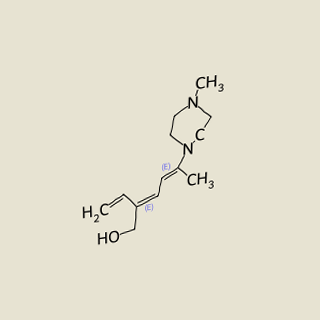 C=C/C(=C\C=C(/C)N1CCN(C)CC1)CO